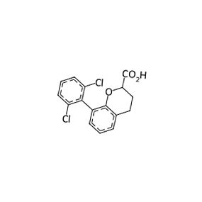 O=C(O)C1CCc2cccc(-c3c(Cl)cccc3Cl)c2O1